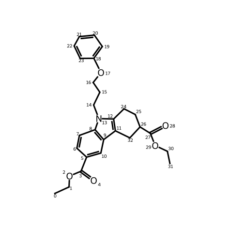 CCOC(=O)c1ccc2c(c1)c1c(n2CCCOc2ccccc2)CCC(C(=O)OCC)C1